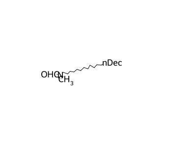 CCCCCCCCCCCCCCCCCCCCCCN(C)C=O